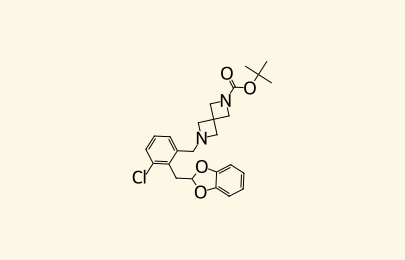 CC(C)(C)OC(=O)N1CC2(CN(Cc3cccc(Cl)c3CC3Oc4ccccc4O3)C2)C1